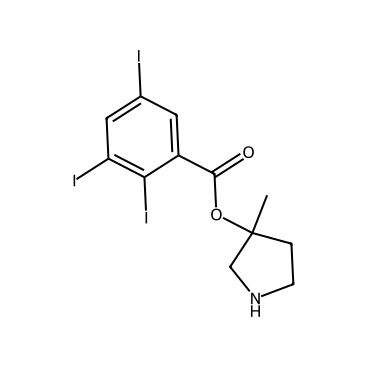 CC1(OC(=O)c2cc(I)cc(I)c2I)CCNC1